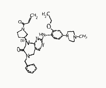 C=CC(=O)N1CC[C@H](N2C(=O)N(Cc3ccccc3)Cc3cnc(Nc4ccc(N5CCN(C)CC5)cc4OCC)nc32)C1